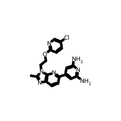 Cc1nc2ccc(-c3cc(N)nc(N)c3)nc2n1CCOc1ccc(Cl)cn1